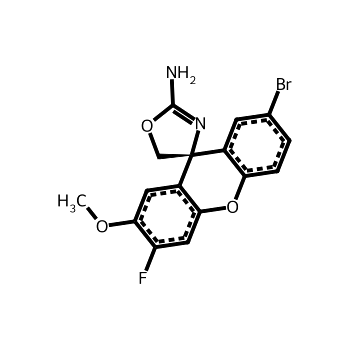 COc1cc2c(cc1F)Oc1ccc(Br)cc1[C@]21COC(N)=N1